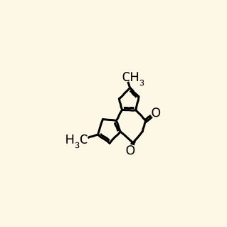 CC1=CC2=C(C1)C1=C(C=C(C)C1)C(=O)CC2=O